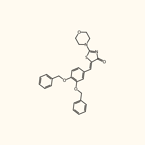 O=C1N=C(N2CCOCC2)SC1=Cc1ccc(OCc2ccccc2)c(OCc2ccccc2)c1